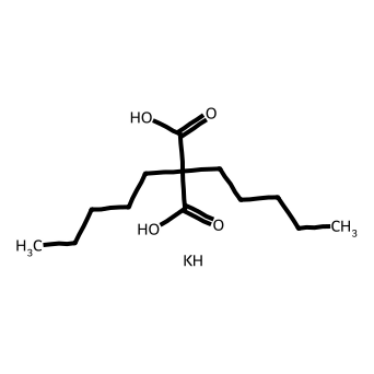 CCCCCC(CCCCC)(C(=O)O)C(=O)O.[KH]